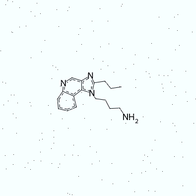 CCCc1nc2cnc3ccccc3c2n1CCCCN